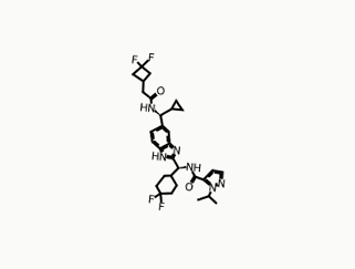 CC(C)n1nccc1C(=O)N[C@H](c1nc2cc([C@@H](NC(=O)CC3CC(F)(F)C3)C3CC3)ccc2[nH]1)C1CCC(F)(F)CC1